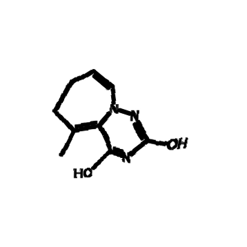 CC1=C2C(O)=NC(O)=NN2C=CCC1